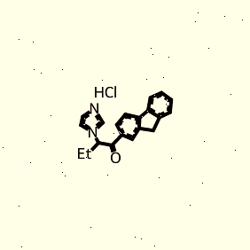 CCC(C(=O)c1ccc2c(c1)Cc1ccccc1-2)n1ccnc1.Cl